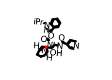 CC(C)n1nc(OC(=O)N[C@@H]2C[C@H]3CC[C@@H](C2)N3CC(O)CNC(=O)c2ccncc2)c2ccccc21